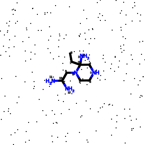 CCC1(N)CNCCN1CC(N)N